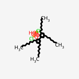 CCCCCCCCc1cc(CCCCCCCC)c(OP(O)Cl)c(-c2cc(CCCCCCCC)cc(CCCCCCCC)c2OP(O)Cl)c1